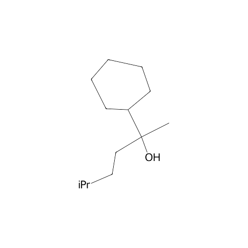 CC(C)CCC(C)(O)C1CCCCC1